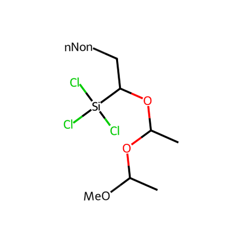 CCCCCCCCCCC(OC(C)OC(C)OC)[Si](Cl)(Cl)Cl